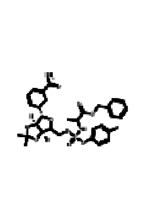 Cc1ccc(OP(=O)(NC(C)C(=O)OCc2ccccc2)OCC2O[C@@H](C3C=CC=C(C(N)=O)C3)[C@@H]3OC(C)(C)O[C@H]23)cc1